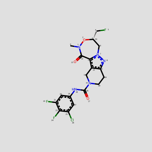 CN1O[C@H](CF)Cn2nc3c(c2C1=O)CN(C(=O)Nc1cc(F)c(F)c(Cl)c1)CC3